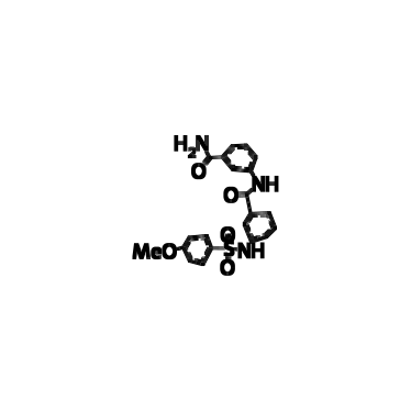 COc1ccc(S(=O)(=O)Nc2cccc(C(=O)Nc3cccc(C(N)=O)c3)c2)cc1